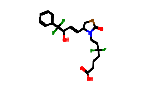 O=C(O)CCCC(F)(F)CCN1C(=O)SCC1/C=C/C(O)C(F)(F)c1ccccc1